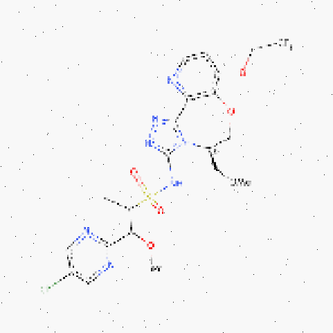 COC[C@@H]1COc2c(OCC(F)(F)F)ccnc2-c2nnc(NS(=O)(=O)C(C)C(OC(C)C)c3ncc(Cl)cn3)n21